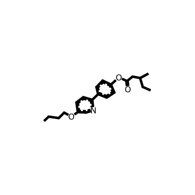 CCCCOc1ccc(-c2ccc(OC(=O)CC(C)CC)cc2)nc1